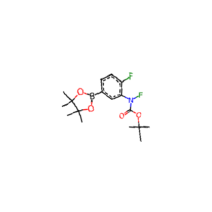 CC(C)(C)OC(=O)N(F)c1cc(B2OC(C)(C)C(C)(C)O2)ccc1F